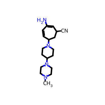 CN1CCN(C2CCN(C3C=CC(N)=CC(C#N)C3)CC2)CC1